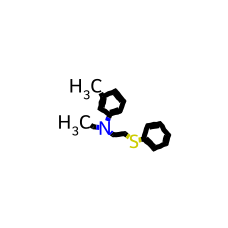 CCN(CCSc1ccccc1)c1cccc(C)c1